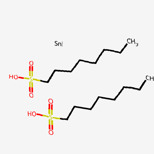 CCCCCCCCS(=O)(=O)O.CCCCCCCCS(=O)(=O)O.[Sn]